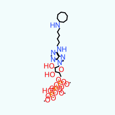 COOP(=O)(O)OP(=O)(OOC)OP(=O)(OCC1OC(n2cnc3c(NCCCCCCNC4CCCCCCC4)ncnc32)C(O)C1O)OOC